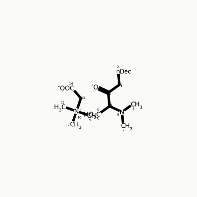 CCCCCCCCCCCC(=O)C(C(=O)O)N(C)C.C[N+](C)(C)CC(=O)[O-]